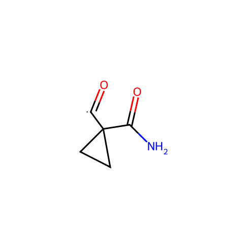 NC(=O)C1([C]=O)CC1